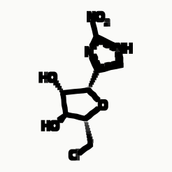 O=[N+]([O-])c1nc([C@@H]2O[C@H](CCl)[C@@H](O)[C@@H]2O)c[nH]1